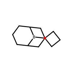 C1CC(B2C3CCCC2CCC3)C1